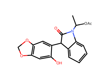 CC(=O)OC(C)N1C(=O)C(c2cc3c(cc2O)OCO3)c2ccccc21